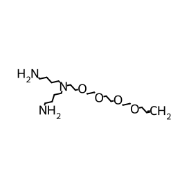 C=CCOCCOCCOCCOCCN(CCCCN)CCCCN